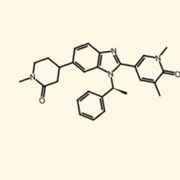 Cc1cc(-c2nc3ccc(C4CCN(C)C(=O)C4)cc3n2[C@@H](C)c2ccccc2)cn(C)c1=O